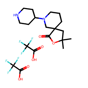 CC1(C)CC2(CCCN(C3CCNCC3)C2)C(=O)O1.O=C(O)C(F)(F)F.O=C(O)C(F)(F)F